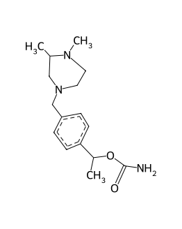 CC(OC(N)=O)c1ccc(CN2CCN(C)C(C)C2)cc1